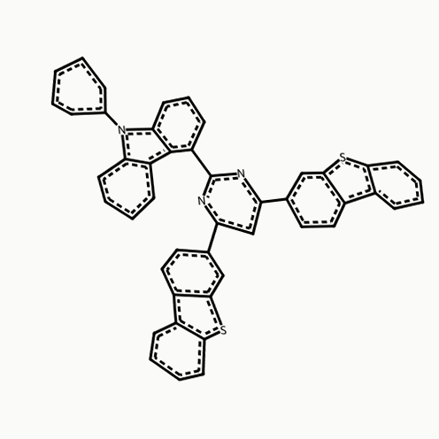 c1ccc(-n2c3ccccc3c3c(-c4nc(-c5ccc6c(c5)sc5ccccc56)cc(-c5ccc6c(c5)sc5ccccc56)n4)cccc32)cc1